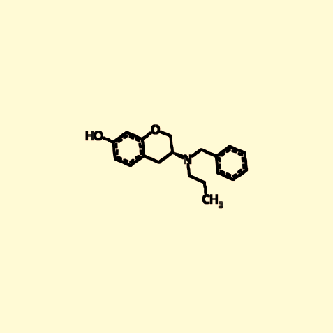 CCCN(Cc1ccccc1)[C@@H]1COc2cc(O)ccc2C1